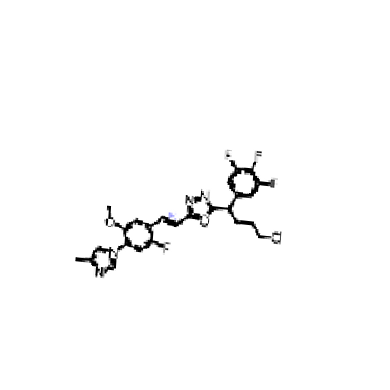 COc1cc(/C=C/c2nnc(C(CCCCl)c3cc(F)c(F)c(F)c3)o2)c(F)cc1-n1cnc(C)c1